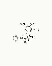 CCOP(=O)(OCC)C(CNc1nccs1)c1cc(C)c(O)c(OC)c1